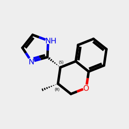 C[C@H]1COc2ccccc2[C@H]1c1ncc[nH]1